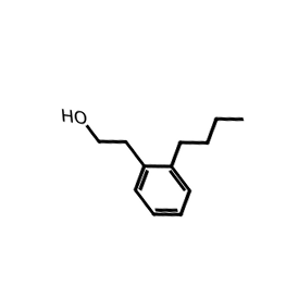 CCCCc1ccccc1CCO